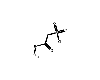 CNC(=O)CS(=O)(=O)Cl